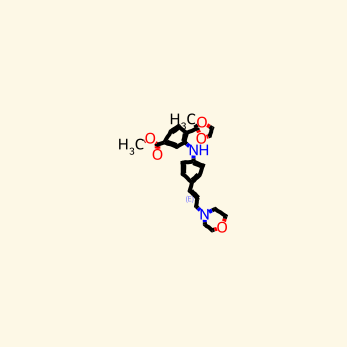 COC(=O)c1ccc(C2(C)OCCO2)c(Nc2ccc(/C=C/CN3CCOCC3)cc2)c1